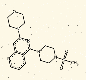 CS(=O)(=O)N1CCN(c2nc(N3CCOCC3)cc3ncccc23)CC1